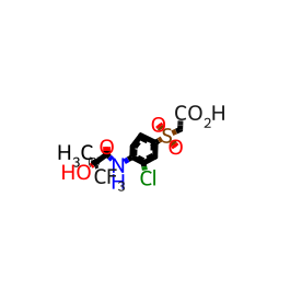 C[C@@](O)(C(=O)Nc1ccc(S(=O)(=O)CC(=O)O)cc1Cl)C(F)(F)F